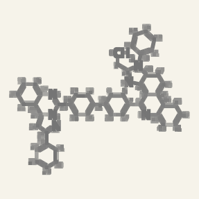 CCc1nc2c3c(-c4ccc(-c5ccc(-c6nc7ccccc7c7cc(-c8ccccc8)nn67)cc5)cc4)nc4ccccc4c3ccc2n1-c1ccccc1